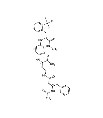 CNC(=O)[C@@H](Cc1ccccc1C(F)(F)F)NC(=O)/C=C\C(=O)N[C@H](CCNC(=O)C[C@@H](Cc1ccccc1)NC(C)=O)C(N)=O